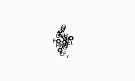 CCN1C(=O)[C@@H](NC(=O)c2cccc(C(F)(F)F)c2)[C@@H](c2ccc(F)cc2)c2c(CNC(=O)C3(CN4CCOCC4)CC3)nn(-c3ccccc3)c21